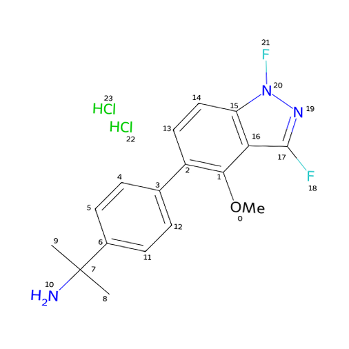 COc1c(-c2ccc(C(C)(C)N)cc2)ccc2c1c(F)nn2F.Cl.Cl